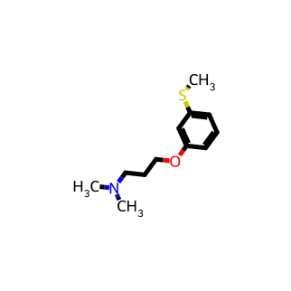 CSc1cccc(OCCCN(C)C)c1